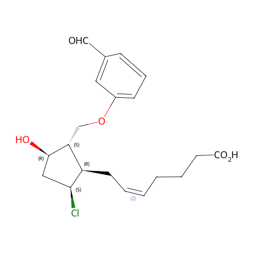 O=Cc1cccc(OC[C@@H]2[C@@H](C/C=C\CCCC(=O)O)[C@@H](Cl)C[C@H]2O)c1